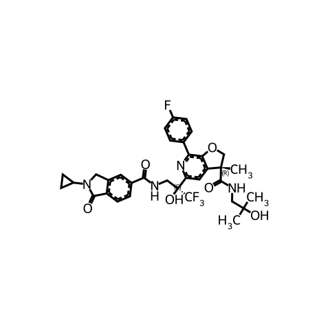 CC(C)(O)CNC(=O)[C@@]1(C)COc2c1cc([C@@](O)(CNC(=O)c1ccc3c(c1)CN(C1CC1)C3=O)C(F)(F)F)nc2-c1ccc(F)cc1